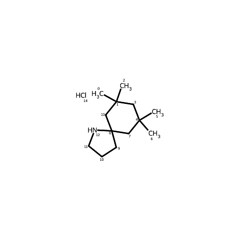 CC1(C)CC(C)(C)CC2(CCCN2)C1.Cl